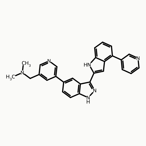 CN(C)Cc1cncc(-c2ccc3[nH]nc(-c4cc5c(-c6cccnc6)cccc5[nH]4)c3c2)c1